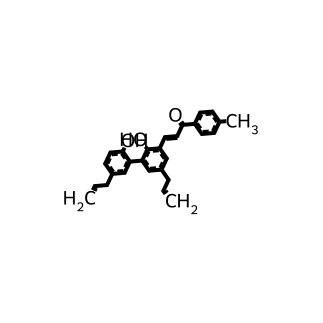 C=CCc1ccc(O)c(-c2cc(CC=C)cc(C=CC(=O)c3ccc(C)cc3)c2O)c1